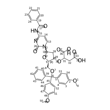 COc1ccc(C(OC[C@H]2O[C@@H](n3ccc(NC(=O)c4ccccc4)nc3=O)C[C@@H]2OC(CC(=O)O)C(=O)O)(c2ccccc2)c2ccc(OC)cc2)cc1